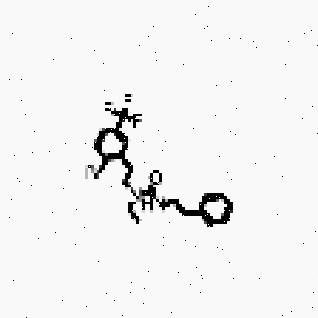 CCN(CCc1cc(C(F)(F)F)ccc1Br)C(=O)NCCc1ccccc1